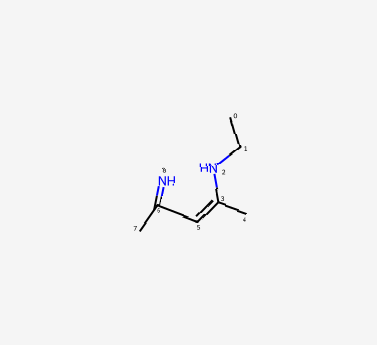 CCN/C(C)=C\C(C)=N